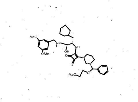 COCCOC(c1ccccc1)[C@@H]1CCCN(c2c(N[C@@H](CC3CCCCC3)[C@@H](O)CNCc3cc(OC)cc(OC)c3)c(=O)c2=O)C1